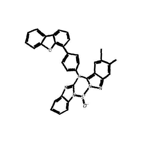 Cc1cc2nn3c(c2cc1C)n(-c1ccc(-c2cccc4c2oc2ccccc24)cc1)c1nc2ccccc2n1[s+]3[O-]